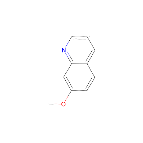 COc1ccc2c[c]cnc2c1